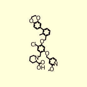 COc1cc(COc2cc(OCc3cccc(-c4ccc5c(c4)OCCO5)c3C)c(Cl)cc2CN2CCCCC2C(=O)O)ccn1